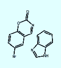 O=c1ncc2cc(Br)ccc2o1.c1ccc2[nH]cnc2c1